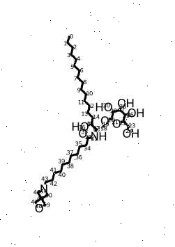 CCCCCCCCCCCCCCC[C@@H](O)[C@H](COC1OC(CO)C(O)C(O)C1O)NC(=O)CCCCCCCCCCN1CC2(COC2)C1